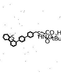 CC(C)(C)OC(=O)NC(CSCc1ccc(-c2ccc(-c3cccc4c3sc3ccccc34)cc2)cc1)C(=O)O